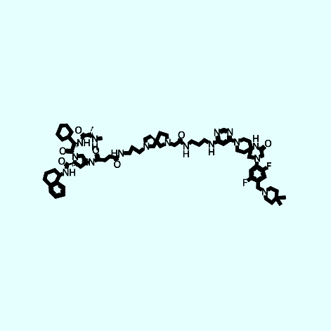 CN[C@@H](C)C(=O)N[C@H](C(=O)N1C[C@@H](NC(=O)CCC(=O)NCCCN2CC[C@]3(CCN(CC(=O)NCCCNc4cc(N5CCC6(CC5)CN(c5cc(F)c(CN7CCC(C)(C)CC7)cc5F)CC(=O)N6)ncn4)C3)C2)C[C@H]1C(=O)NC1CCCc2ccccc21)C1CCCCC1